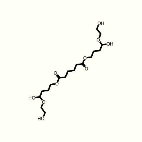 O=C(CCCCC(=O)OCCCC(O)OCCO)OCCCC(O)OCCO